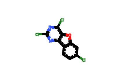 Clc1ccc2c(c1)oc1c(Cl)nc(Cl)nc12